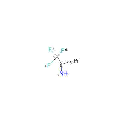 CC(C)C([NH])C(F)(F)F